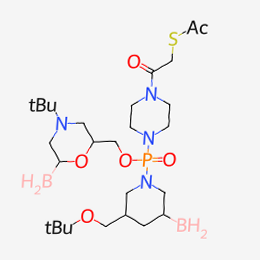 BC1CC(COC(C)(C)C)CN(P(=O)(OCC2CN(C(C)(C)C)CC(B)O2)N2CCN(C(=O)CSC(C)=O)CC2)C1